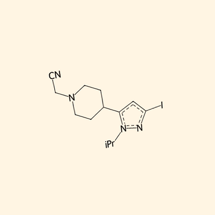 CC(C)n1nc(I)cc1C1CCN(CC#N)CC1